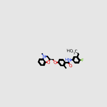 Cc1cc(OC[C@@H]2CN(C)c3ccccc3O2)ccc1C(=O)Nc1ccc(F)c(CC(=O)O)c1